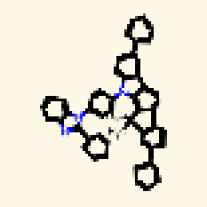 CC1(C)c2cc(-c3ccccc3)ccc2-c2ccc3c4cc(-c5ccccc5)ccc4n(-c4ccc(-n5c(-c6ccccc6)nc6ccccc65)cc4)c3c21